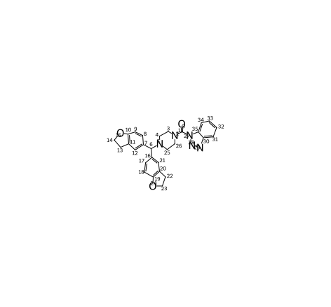 O=C(N1CCN(C(c2ccc3c(c2)CCO3)c2ccc3c(c2)CCO3)CC1)n1nnc2ccccc21